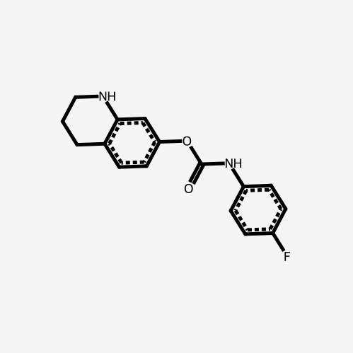 O=C(Nc1ccc(F)cc1)Oc1ccc2c(c1)NCCC2